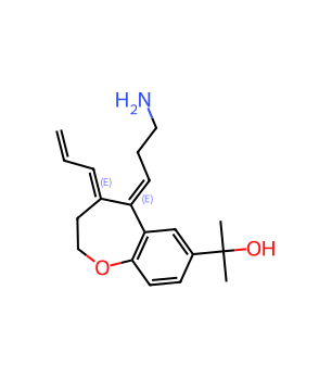 C=C/C=C1\CCOc2ccc(C(C)(C)O)cc2\C1=C\CCN